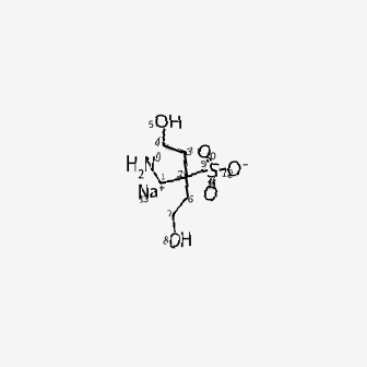 NCC(CCO)(CCO)S(=O)(=O)[O-].[Na+]